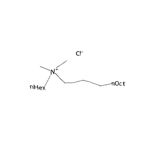 CCCCCCCCCCC[N+](C)(C)CCCCCC.[Cl-]